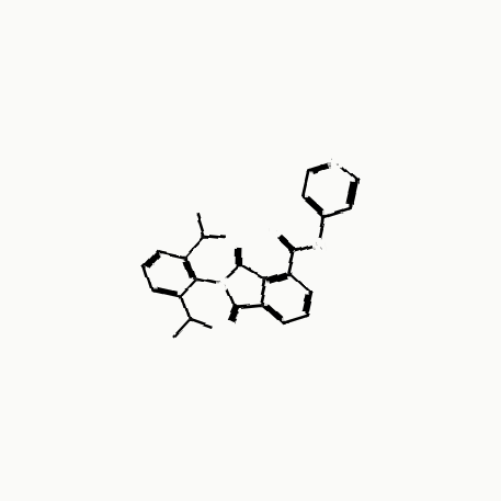 CC(C)c1cccc(C(C)C)c1N1C(=O)c2cccc(C(=O)Nc3ccncc3)c2C1=O